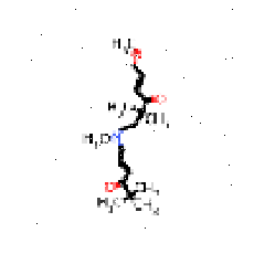 COC/C=C/C(=O)C(C)(C)CCN(C)C/C=C/C(=O)C(C)(C)C